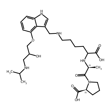 CC(C)NCC(O)COc1cccc2[nH]cc(CNCCCCC(N[C@@H](C)C(=O)N3CCC[C@H]3C(=O)O)C(=O)O)c12